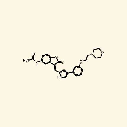 NC(=O)Nc1ccc2c(c1)C(=Cc1cc(-c3cccc(OCCN4CCOCC4)c3)c[nH]1)C(=O)N2